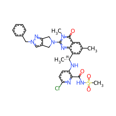 Cc1cc([C@@H](C)Nc2ccc(Cl)nc2C(=O)NS(C)(=O)=O)c2nc(N3Cc4cn(Cc5ccccc5)nc4C3)n(C)c(=O)c2c1